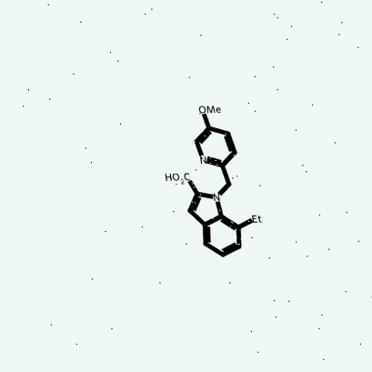 CCc1cccc2cc(C(=O)O)n(Cc3ccc(OC)cn3)c12